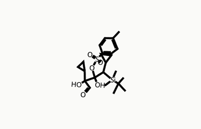 Cc1ccc(S(=O)(=O)OC(O)(C(C2CC2)[Si](C)(C)C(C)(C)C)C(O)(C=O)C2CC2)cc1